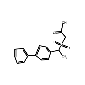 CC(c1ccc(-c2ccccc2)cc1)S(=O)(=O)CC(=O)O